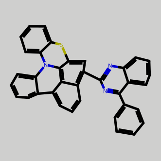 c1ccc(-c2nc(-c3cc4sc5ccccc5n5c6ccccc6c6cccc3c6c4-5)nc3ccccc23)cc1